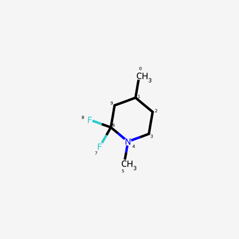 CC1CCN(C)C(F)(F)C1